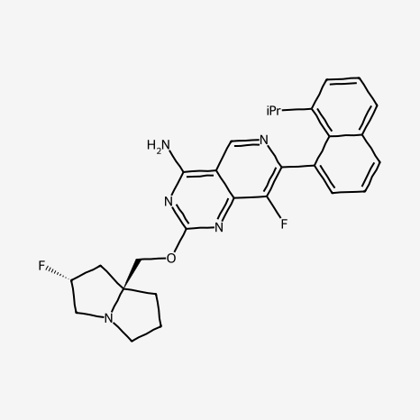 CC(C)c1cccc2cccc(-c3ncc4c(N)nc(OC[C@@]56CCCN5C[C@H](F)C6)nc4c3F)c12